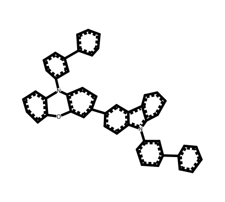 c1ccc(-c2cccc(N3c4ccccc4Oc4cc(-c5ccc6c(c5)c5ccccc5n6-c5cccc(-c6ccccc6)c5)ccc43)c2)cc1